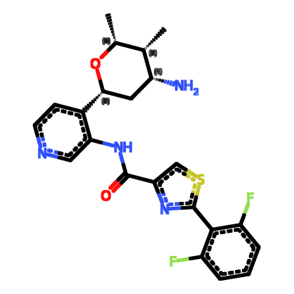 C[C@@H]1[C@H](N)C[C@H](c2ccncc2NC(=O)c2csc(-c3c(F)cccc3F)n2)O[C@@H]1C